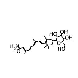 CC(C=CC1=C(C)CC(C2O[C@H](CO)[C@@H](O)[C@H](O)[C@@H]2O)CC1(C)C)=CC=CC(C)=CC(N)=O